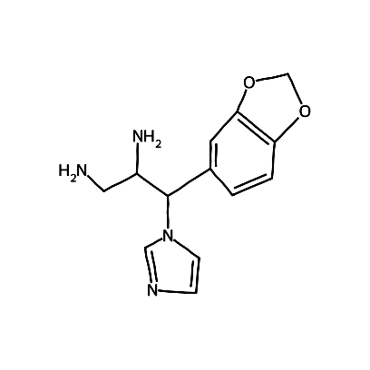 NCC(N)C(c1ccc2c(c1)OCO2)n1ccnc1